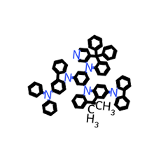 CC1(C)c2ccccc2N(c2cc(N3c4ccccc4C(c4ccccc4)(c4ccccc4)c4ccncc43)cc(-n3c4ccccc4c4cc(N(c5ccccc5)c5ccccc5)ccc43)c2)c2ccc(-n3c4ccccc4c4ccccc43)cc21